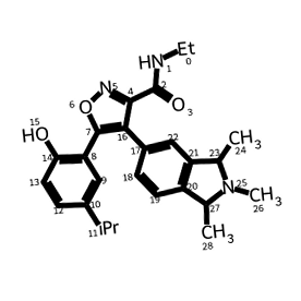 CCNC(=O)c1noc(-c2cc(C(C)C)ccc2O)c1-c1ccc2c(c1)C(C)N(C)C2C